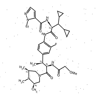 CCn1nccc1C(=O)N[C@H](C(=O)Nc1ccc([C@H](C)[C@@H](NC(=O)COC)C(=O)N2C[C@@H](C)N(C)[C@@H](C)C2)cc1F)C(C1CC1)C1CC1